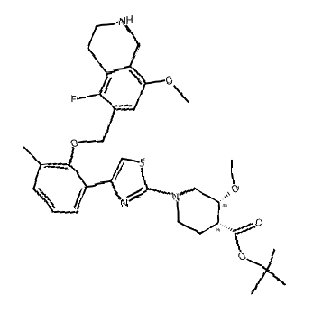 COc1cc(COc2c(C)cccc2-c2csc(N3CC[C@@H](C(=O)OC(C)(C)C)[C@@H](OC)C3)n2)c(F)c2c1CNCC2